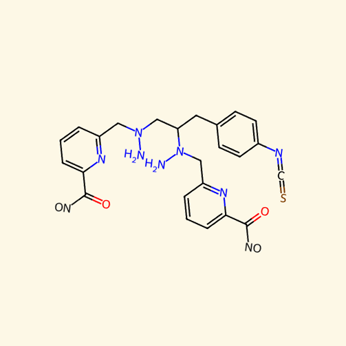 NN(Cc1cccc(C(=O)N=O)n1)CC(Cc1ccc(N=C=S)cc1)N(N)Cc1cccc(C(=O)N=O)n1